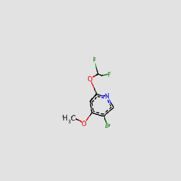 COc1cc(OC(F)F)ncc1Br